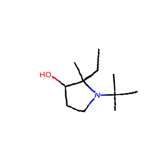 CCC1(C)C(O)CCN1C(C)(C)C